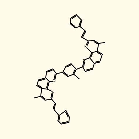 Cc1cc(-c2ccc3ccc4c(C)cc(/C=C/c5ccccc5)nc4c3n2)ccc1-c1ccc2ccc3c(C)cc(/C=C/c4ccccc4)nc3c2n1